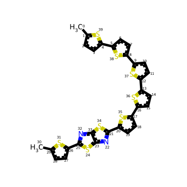 Cc1ccc(-c2ccc(-c3ccc(-c4ccc(-c5ccc(-c6nc7sc(-c8ccc(C)s8)nc7s6)s5)s4)s3)s2)s1